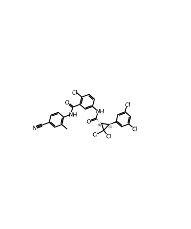 Cc1cc(C#N)ccc1NC(=O)c1cc(NC(=O)[C@@H]2[C@@H](c3cc(Cl)cc(Cl)c3)C2(Cl)Cl)ccc1Cl